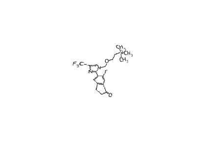 C[Si](C)(C)CCOCn1cc(C(F)(F)F)nc1-c1cc2c(cc1F)C(=O)CC2